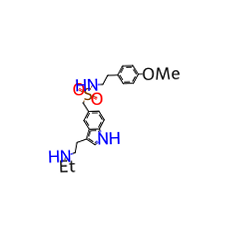 CCNCCc1c[nH]c2ccc(CS(=O)(=O)NCCc3ccc(OC)cc3)cc12